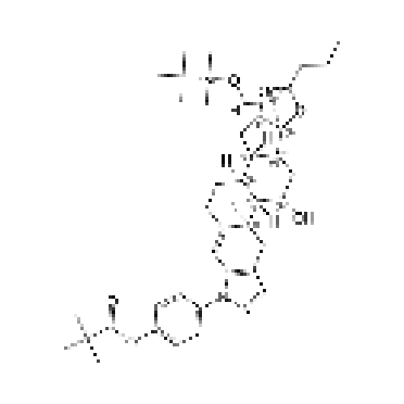 CCCC1O[C@@H]2C[C@H]3[C@@H]4CCC5=Cc6c(cnn6-c6ccc(OC(=O)C(C)(C)C)cc6)C[C@]5(C)[C@H]4[C@@H](O)C[C@]3(C)[C@]2(C(=O)CO[Si](C)(C)C(C)(C)C)O1